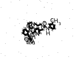 Cc1cccc(NC(=O)N(CCCN2CCOCC2)Cc2ccc(C(=O)Nc3ccccc3NC(=O)OC(C)(C)C)nc2)c1